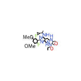 C=CC(=O)N[C@H]1COC[C@H]1Nc1cc2c(NC(C)C3CC3)nc(-c3c(F)c(OC)cc(OC)c3F)nc2cn1